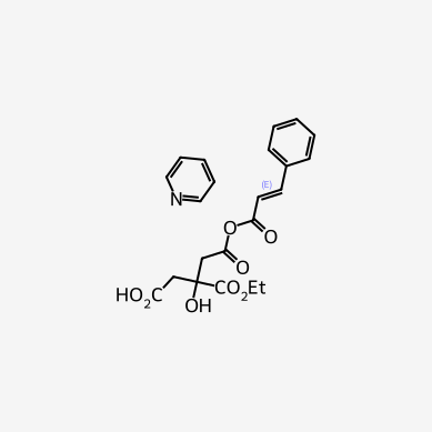 CCOC(=O)C(O)(CC(=O)O)CC(=O)OC(=O)/C=C/c1ccccc1.c1ccncc1